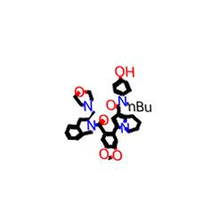 CCCCN(C(=O)c1cc(-c2cc3c(cc2C(=O)N2Cc4ccccc4C[C@H]2CN2CCOCC2)OCO3)n2c1CCCC2)c1ccc(O)cc1